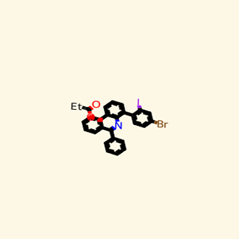 CCC(=O)OCc1cccc(-c2ccc(Br)cc2I)c1N=C(c1ccccc1)c1ccccc1